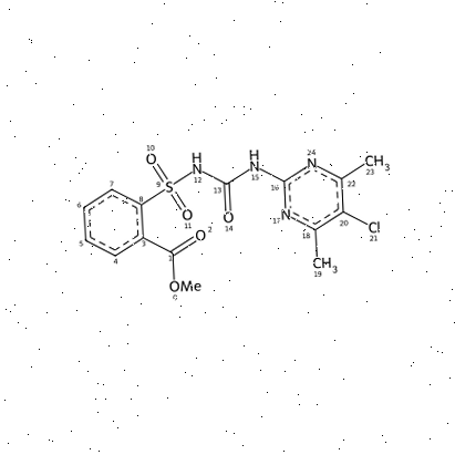 COC(=O)c1ccccc1S(=O)(=O)NC(=O)Nc1nc(C)c(Cl)c(C)n1